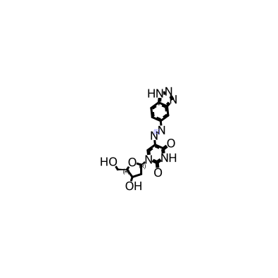 O=c1[nH]c(=O)n([C@H]2CC(O)[C@@H](CO)O2)cc1/N=N/c1ccc2[nH]nnc2c1